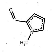 Cn1cccc1I=O